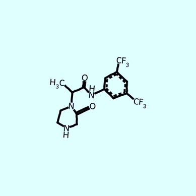 CC(C(=O)Nc1cc(C(F)(F)F)cc(C(F)(F)F)c1)N1CCNCC1=O